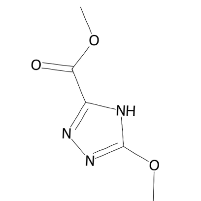 COC(=O)c1nnc(OC)[nH]1